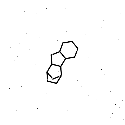 C1CCC2C(C1)CC1C3CCC(C3)C21